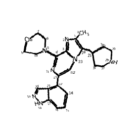 Cc1nc2c(N3CCOCC3)nc(-c3cccc4[nH]ncc34)cn2c1C1CCNCC1